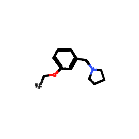 FC(F)(F)COc1cccc(CN2CCCC2)c1